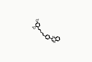 COc1ccc(C=CCC=Cc2ccc(-c3cnc4ccccc4n3)cc2)c(OC)c1